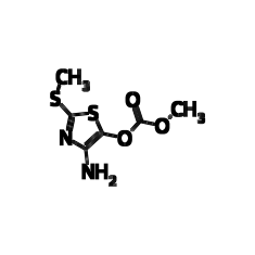 COC(=O)Oc1sc(SC)nc1N